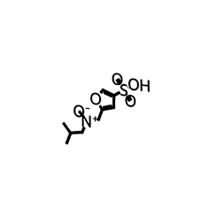 CC(C)C[N+]([O-])=Cc1cc(S(=O)(=O)O)co1